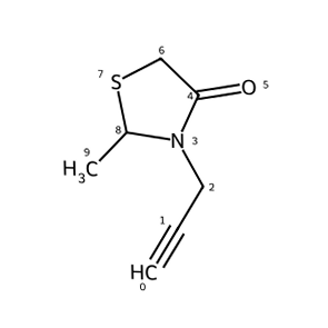 C#CCN1C(=O)CSC1C